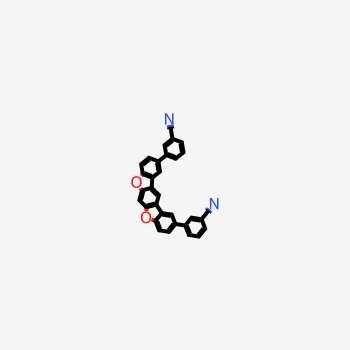 N#Cc1cccc(-c2ccc3oc4cc5oc6ccc(-c7cccc(C#N)c7)cc6c5cc4c3c2)c1